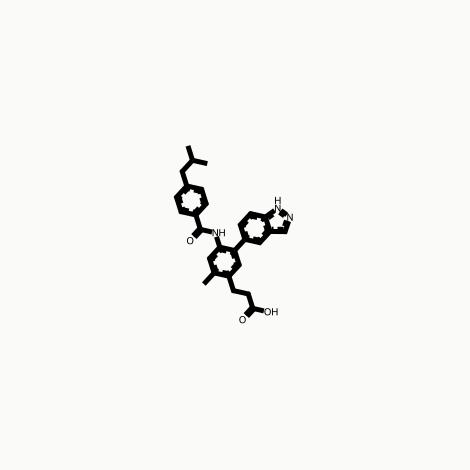 Cc1cc(NC(=O)c2ccc(CC(C)C)cc2)c(-c2ccc3[nH]ncc3c2)cc1CCC(=O)O